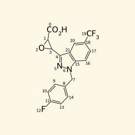 O=C(O)C1OC1c1nn(Cc2ccc(F)cc2)c2ccc(C(F)(F)F)cc12